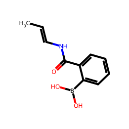 CC=CNC(=O)c1ccccc1B(O)O